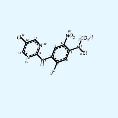 CCN(C(=O)O)c1cc(F)c(Nc2ncc(Cl)cn2)cc1[N+](=O)[O-]